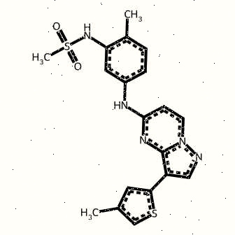 Cc1csc(-c2cnn3ccc(Nc4ccc(C)c(NS(C)(=O)=O)c4)nc23)c1